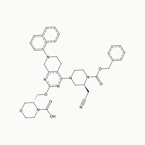 N#CC[C@H]1CN(c2nc(OC[C@H]3COCCN3C(=O)O)nc3c2CCN(c2cccc4ccccc24)C3)CCN1C(=O)OCc1ccccc1